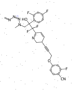 C=N/N=N\N(C)CC(O)(c1ccc(F)cc1F)C(F)(F)C1=NCC(C#CCOc2ccc(C#N)c(F)c2)C=C1